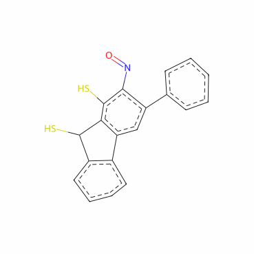 O=Nc1c(-c2ccccc2)cc2c(c1S)C(S)c1ccccc1-2